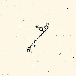 [O-][S+](CCCCCCCCCCC(Cc1ccc(O)cc1)c1ccc(O)cc1)CCCC(F)(F)C(F)(F)F